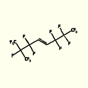 FC(F)(F)C(F)(F)C(F)(F)/C=C/C(F)(F)C(F)(C(F)(F)F)C(F)(F)F